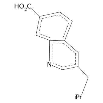 CC(C)Cc1cnc2cc(C(=O)O)ccc2c1